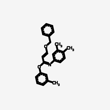 Cc1cccc(OC(C=COCc2ccccc2)=Nc2ccc(C)c(C)c2)c1